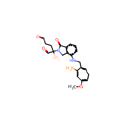 BC(C=O)(CCC=O)N1Cc2c(NCC3=CCC=C(OC)C=C3P)cccc2C1=O